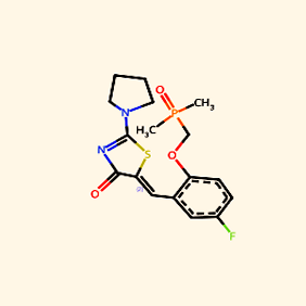 CP(C)(=O)COc1ccc(F)cc1/C=C1\SC(N2CCCC2)=NC1=O